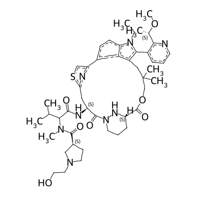 CCn1c(-c2cccnc2[C@H](C)OC)c2c3cc(ccc31)-c1csc(n1)C[C@H](NC(=O)C(C(C)C)N(C)C(=O)[C@H]1CCN(CCO)C1)C(=O)N1CCC[C@H](N1)C(=O)OCC(C)(C)C2